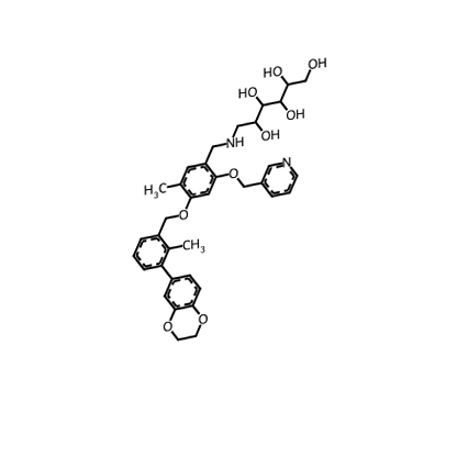 Cc1cc(CNCC(O)C(O)C(O)C(O)CO)c(OCc2cccnc2)cc1OCc1cccc(-c2ccc3c(c2)OCCO3)c1C